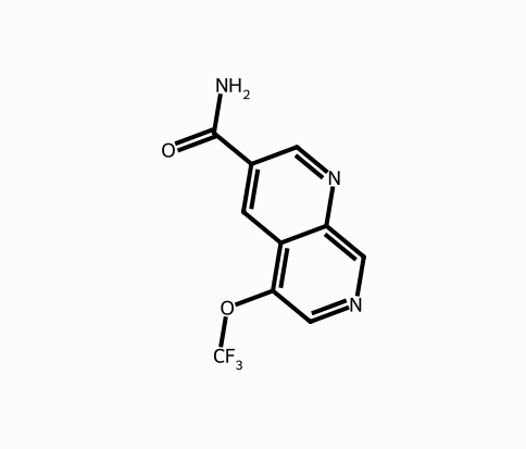 NC(=O)c1cnc2cncc(OC(F)(F)F)c2c1